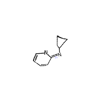 C1=C[N]/C(=N\C2CC2)C=C1